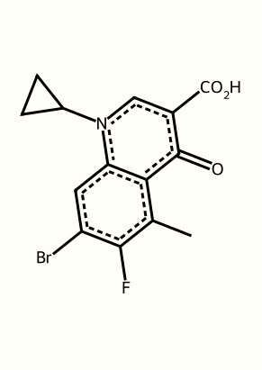 Cc1c(F)c(Br)cc2c1c(=O)c(C(=O)O)cn2C1CC1